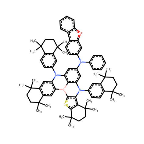 CC1(C)CCC(C)(C)c2cc(N3c4cc5c(cc4B4c6sc7c(c6N(c6ccc8c(c6)C(C)(C)CCC8(C)C)c6cc(N(c8ccccc8)c8ccc9c(c8)oc8ccccc89)cc3c64)C(C)(C)CCC7(C)C)C(C)(C)CCC5(C)C)ccc21